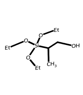 CCO[Si](OCC)(OCC)C(C)CO